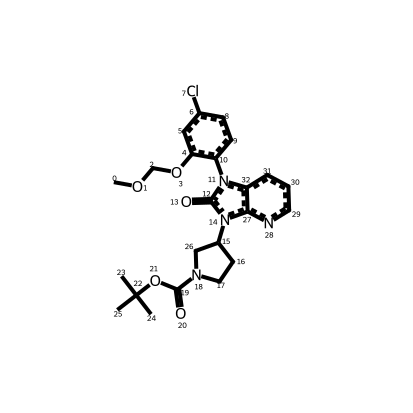 COCOc1cc(Cl)ccc1-n1c(=O)n(C2CCN(C(=O)OC(C)(C)C)C2)c2ncccc21